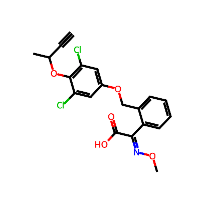 C#CC(C)Oc1c(Cl)cc(OCc2ccccc2/C(=N\OC)C(=O)O)cc1Cl